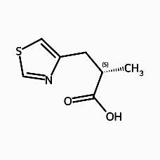 C[C@@H](Cc1cscn1)C(=O)O